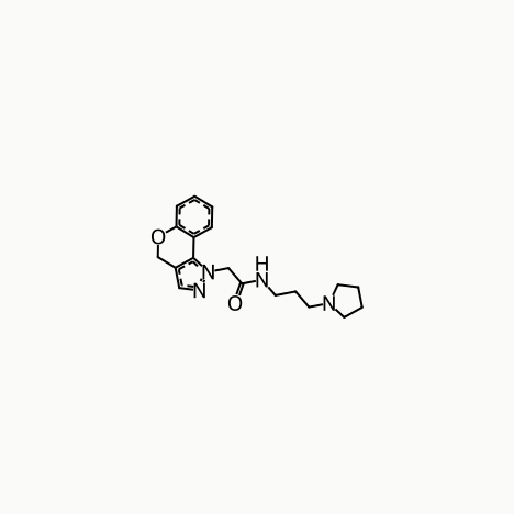 O=C(Cn1ncc2c1-c1ccccc1OC2)NCCCN1CCCC1